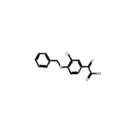 O=C(O)C(=O)c1ccc(OCc2ccccc2)c(Cl)c1